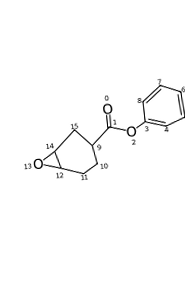 O=C(Oc1ccccc1)C1CCC2OC2C1